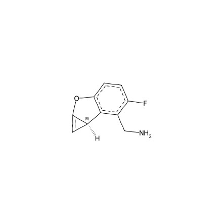 NCc1c(F)ccc2c1[C@H]1C=C1O2